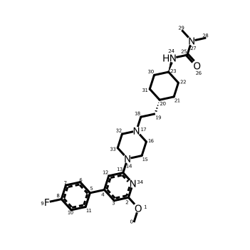 COc1cc(-c2ccc(F)cc2)cc(N2CCN(CC[C@H]3CC[C@H](NC(=O)N(C)C)CC3)CC2)n1